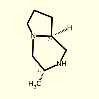 C[C@@H]1CN2CCC[C@H]2CN1